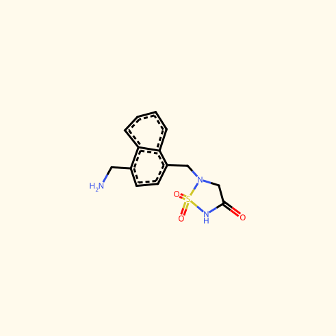 NCc1ccc(CN2CC(=O)NS2(=O)=O)c2ccccc12